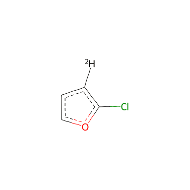 [2H]c1ccoc1Cl